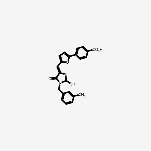 Cc1cccc(CN2C(=O)/C(=C/c3ccc(-c4ccc(C(=O)O)cc4)o3)SC2S)c1